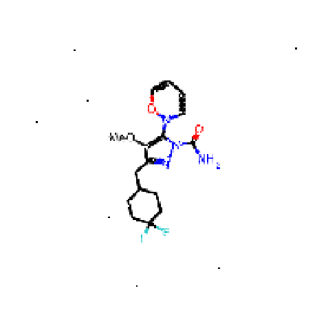 COc1c(CC2CCC(F)(F)CC2)nn(C(N)=O)c1N1C=CC=CO1